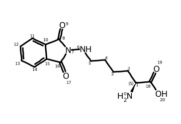 N[C@@H](CCCCNN1C(=O)c2ccccc2C1=O)C(=O)O